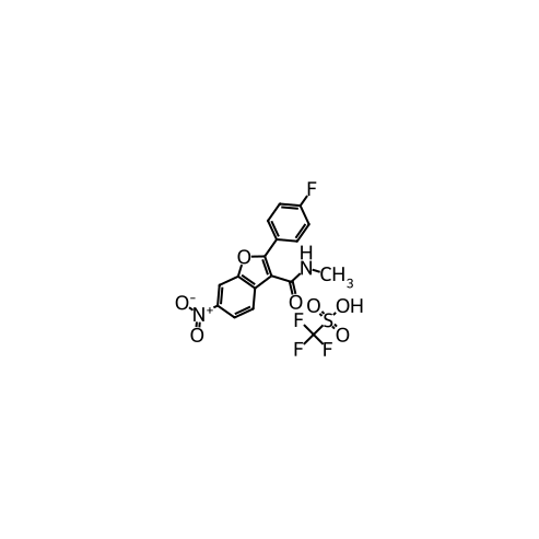 CNC(=O)c1c(-c2ccc(F)cc2)oc2cc([N+](=O)[O-])ccc12.O=S(=O)(O)C(F)(F)F